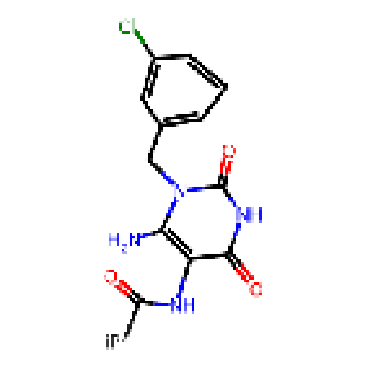 CC(C)C(=O)Nc1c(N)n(Cc2cccc(Cl)c2)c(=O)[nH]c1=O